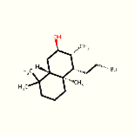 CC[C@@H](C)CC[C@H]1[C@@H](C)[C@H](O)C[C@H]2C(C)(C)CCC[C@]12C